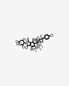 Bc1c(B)c(C(B)(B)NC(=O)C(F)(F)c2ccc(Cl)cc2)c(B)c2c1C(=O)N(C1CCC(=O)NC1=O)C2B